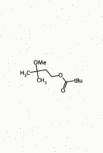 COC(C)(C)CCOC(=O)C(C)(C)C